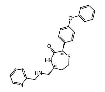 O=C1N[C@H](CNCc2ncccn2)CCS[C@@H]1c1ccc(Oc2ccccc2)cc1